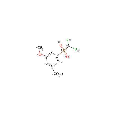 O=C(O)c1cc(OC(F)(F)F)cc(S(=O)(=O)C(F)F)c1